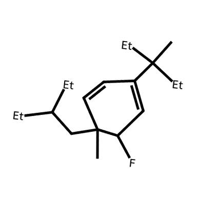 CCC(CC)CC1(C)C=CC(C(C)(CC)CC)=CC1F